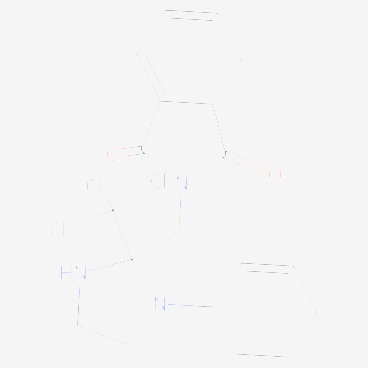 O=C1c2ccccc2C(=O)N1SC1(C(Cl)(Cl)Cl)NCCN1c1ccccc1